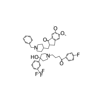 COc1cc2c(cc1OC)C(=O)C(CC1CCN(Cc3ccccc3)CC1)C2.O=C(CCCN1CCC(O)(c2cccc(C(F)(F)F)c2)CC1)c1ccc(F)cc1